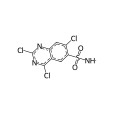 [NH]S(=O)(=O)c1cc2c(Cl)nc(Cl)nc2cc1Cl